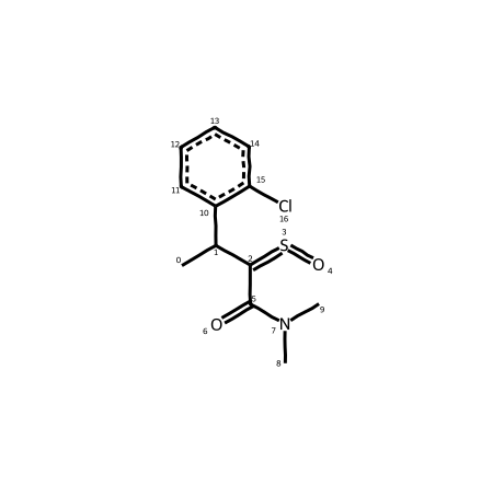 CC(C(=S=O)C(=O)N(C)C)c1ccccc1Cl